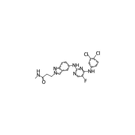 CNC(=O)CCn1cc2cc(Nc3ncc(F)c(Nc4ccc(Cl)c(Cl)c4)n3)ccc2n1